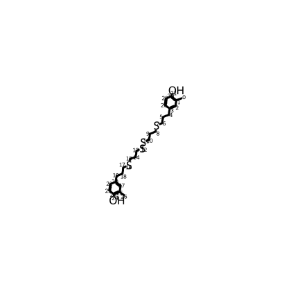 Cc1cc(CCCSCCCSSCCCSCCCc2ccc(O)c(C)c2)ccc1O